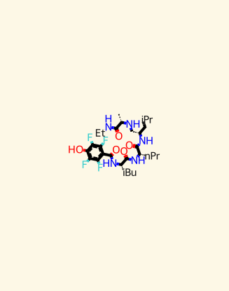 CCC[C@H](NC(=O)[C@@H](NC(=O)c1c(F)c(F)c(O)c(F)c1F)C(C)CC)C(=O)N[C@H](CN[C@@H](C)C(=O)NCC)CC(C)C